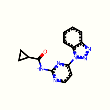 O=C(Nc1nccc(-n2nnc3ccccc32)n1)C1CC1